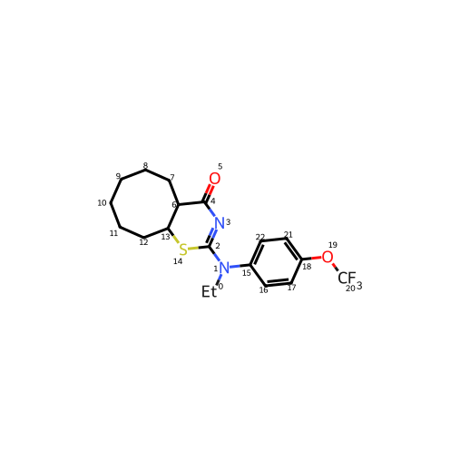 CCN(C1=NC(=O)C2CCCCCCC2S1)c1ccc(OC(F)(F)F)cc1